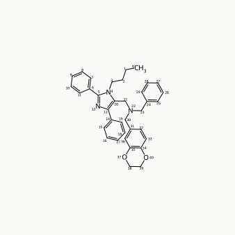 CCCCn1c(-c2ccccc2)nc(-c2ccccc2)c1CN(Cc1ccccc1)Cc1ccc2c(c1)OCCO2